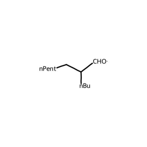 CCCCCCC([C]=O)CCCC